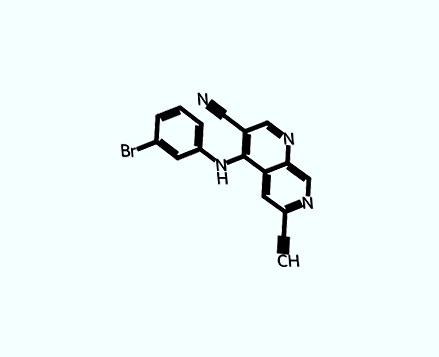 C#Cc1cc2c(Nc3cccc(Br)c3)c(C#N)cnc2cn1